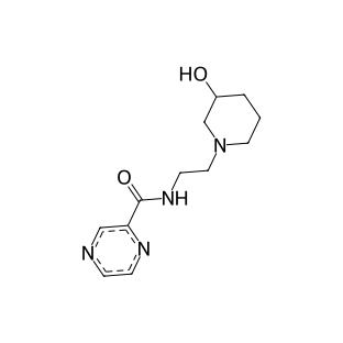 O=C(NCCN1CCCC(O)C1)c1cnccn1